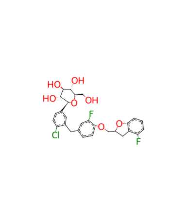 OC[C@H]1O[C@@H](c2ccc(Cl)c(Cc3ccc(OCC4Cc5c(F)cccc5O4)c(F)c3)c2)[C@H](O)[C@@H](O)[C@@H]1O